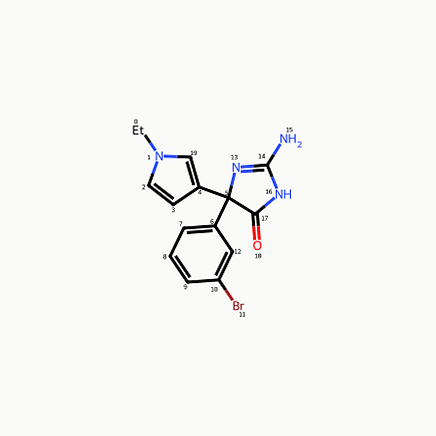 CCn1ccc(C2(c3cccc(Br)c3)N=C(N)NC2=O)c1